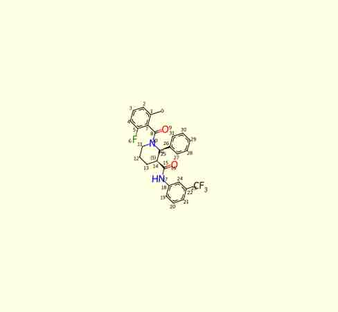 Cc1cccc(F)c1C(=O)N1CCC[C@H](C(=O)Nc2cccc(C(F)(F)F)c2)[C@@H]1c1ccccc1